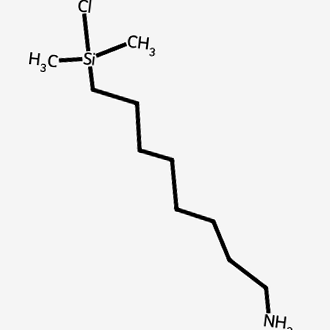 C[Si](C)(Cl)CCCCCCCCN